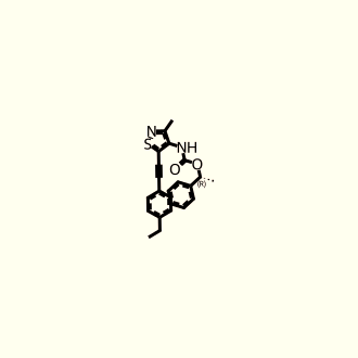 CCc1ccc(C#Cc2snc(C)c2NC(=O)O[C@H](C)c2ccccc2)cc1